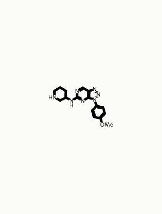 COc1ccc(-n2nnc3cnc(NC4CCCNC4)nc32)cc1